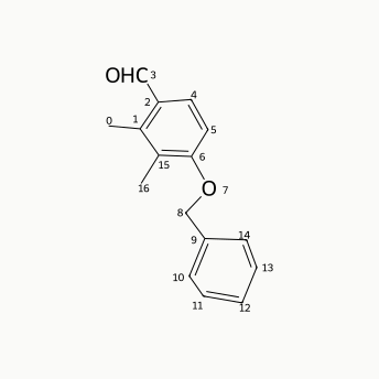 Cc1c(C=O)ccc(OCc2ccccc2)c1C